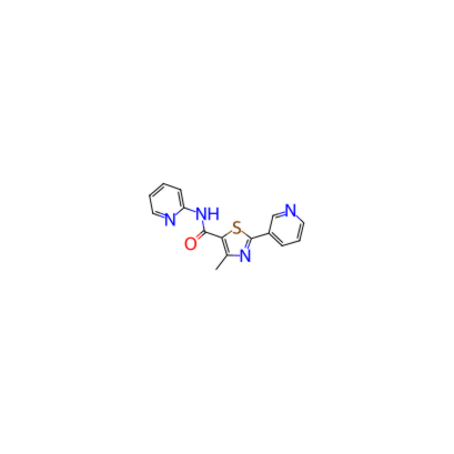 Cc1nc(-c2cccnc2)sc1C(=O)Nc1ccccn1